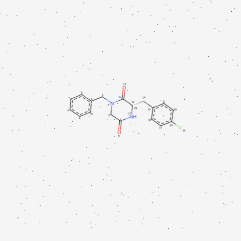 O=C1CN(Cc2ccccc2)C(=O)[C@H](Cc2ccc(F)cc2)N1